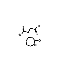 O=C(O)CCC(=O)O.O=C1CCCCCN1